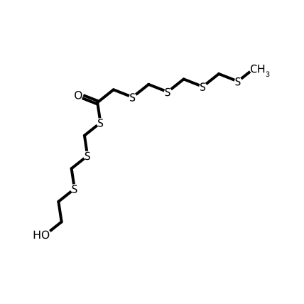 CSCSCSCSCC(=O)SCSCSCCO